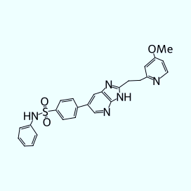 COc1ccnc(CCc2nc3cc(-c4ccc(S(=O)(=O)Nc5ccccc5)cc4)cnc3[nH]2)c1